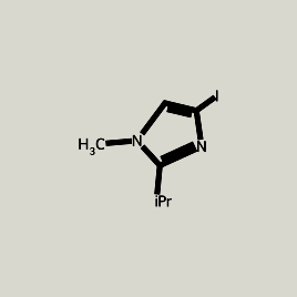 CC(C)c1nc(I)cn1C